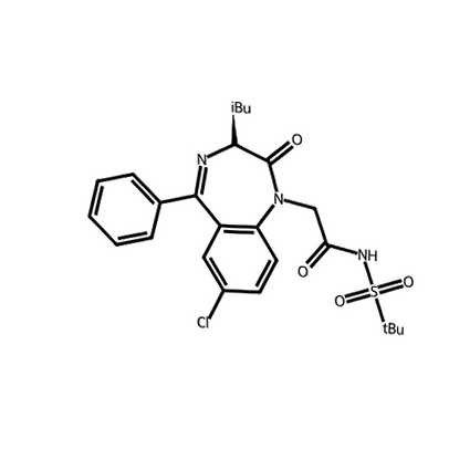 CC[C@H](C)C1N=C(c2ccccc2)c2cc(Cl)ccc2N(CC(=O)NS(=O)(=O)C(C)(C)C)C1=O